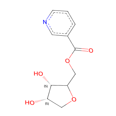 O=C(OCC1OC[C@H](O)[C@@H]1O)c1cccnc1